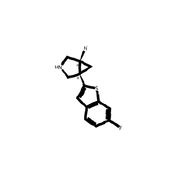 Fc1ccc2cc([C@@]34CNC[C@@H]3C4)sc2c1